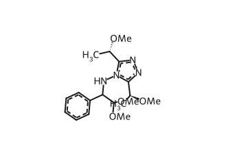 COC(OC)C(Nn1c([C@H](C)OC)nnc1[C@H](C)OC)c1ccccc1